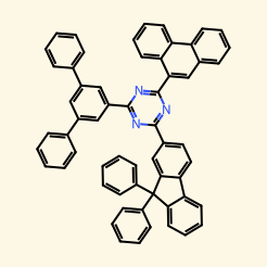 c1ccc(-c2cc(-c3ccccc3)cc(-c3nc(-c4ccc5c(c4)C(c4ccccc4)(c4ccccc4)c4ccccc4-5)nc(-c4cc5ccccc5c5ccccc45)n3)c2)cc1